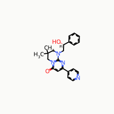 CC1(C)CN(C[C@H](O)c2ccccc2)c2nc(-c3ccncc3)cc(=O)n2C1